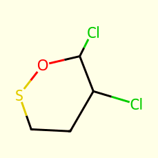 ClC1CCSOC1Cl